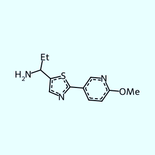 CCC(N)c1cnc(-c2ccc(OC)nc2)s1